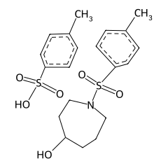 Cc1ccc(S(=O)(=O)N2CCCC(O)CC2)cc1.Cc1ccc(S(=O)(=O)O)cc1